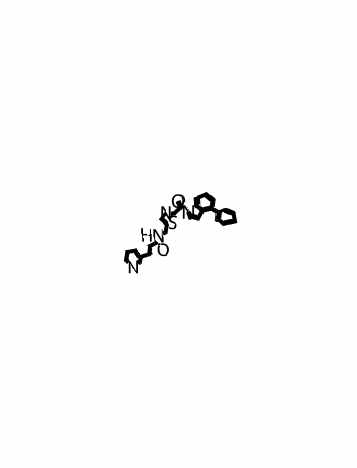 O=C(/C=C/c1cccnc1)NCc1cnc(C(=O)n2ccc3c(-c4ccccc4)cccc32)s1